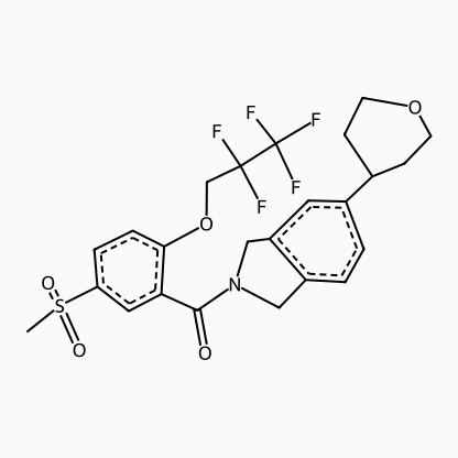 CS(=O)(=O)c1ccc(OCC(F)(F)C(F)(F)F)c(C(=O)N2Cc3ccc(C4CCOCC4)cc3C2)c1